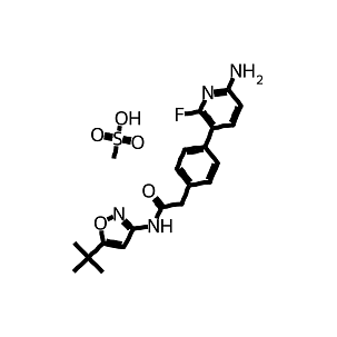 CC(C)(C)c1cc(NC(=O)Cc2ccc(-c3ccc(N)nc3F)cc2)no1.CS(=O)(=O)O